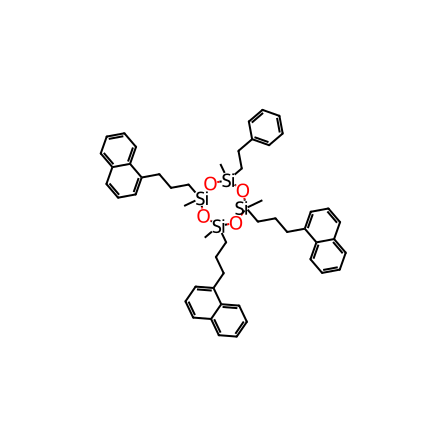 C[Si]1(CCCc2cccc3ccccc23)O[Si](C)(CCCc2cccc3ccccc23)O[Si](C)(CCc2ccccc2)O[Si](C)(CCCc2cccc3ccccc23)O1